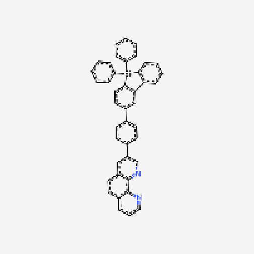 c1ccc([Si]2(c3ccccc3)c3ccccc3-c3cc(-c4ccc(-c5cnc6c(ccc7cccnc76)c5)cc4)ccc32)cc1